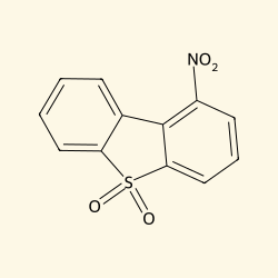 O=[N+]([O-])c1cccc2c1-c1ccccc1S2(=O)=O